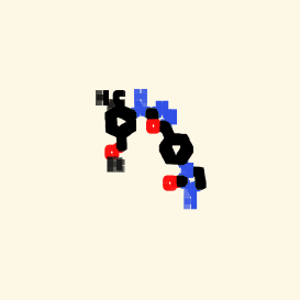 CCOCc1ccc(C)c(Nc2nnc(-c3ccc(N4CCNC4=O)cc3)o2)c1